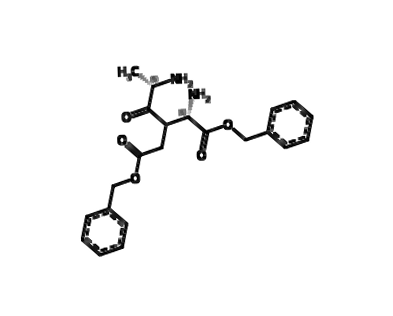 C[C@H](N)C(=O)C(CC(=O)OCc1ccccc1)[C@H](N)C(=O)OCc1ccccc1